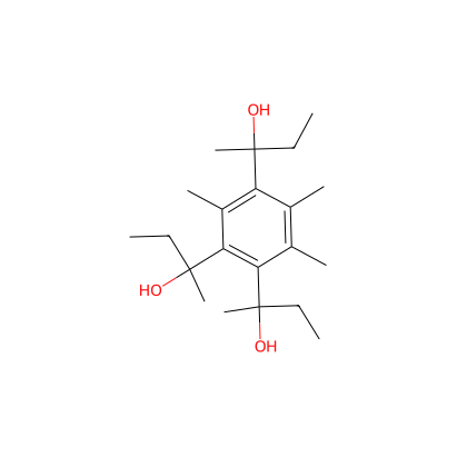 CCC(C)(O)c1c(C)c(C)c(C(C)(O)CC)c(C(C)(O)CC)c1C